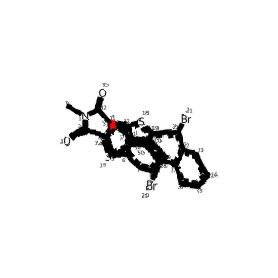 CN1C(=O)C2c3c4ccccc4c(c4c3sc3c4sc4c(Br)c5ccccc5c(Br)c43)C2C1=O